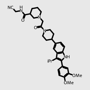 COc1ccc(-c2[nH]c3ccc(C4CCN(C(=O)CN5CCCC(C(=O)NCC#N)C5)CC4)cc3c2C(C)C)cc1OC